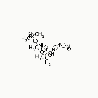 Cc1cnn(C)c1-c1ccc(C(C)NC(=O)[C@@H]2CCCN2C(=O)C(c2cc(N3CCC(CN4CCC(N=O)CC4)CC3)no2)C(C)C)cc1